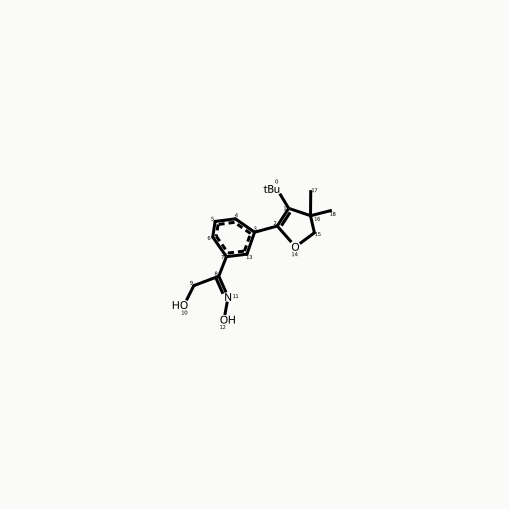 CC(C)(C)C1=C(c2cccc(C(CO)=NO)c2)OCC1(C)C